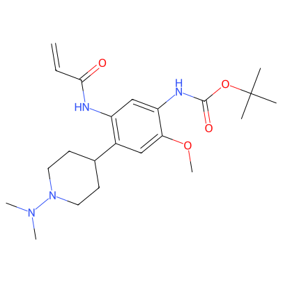 C=CC(=O)Nc1cc(NC(=O)OC(C)(C)C)c(OC)cc1C1CCN(N(C)C)CC1